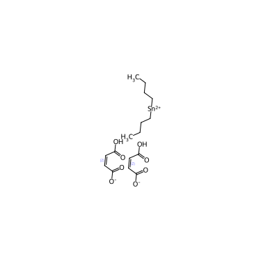 CCC[CH2][Sn+2][CH2]CCC.O=C([O-])/C=C\C(=O)O.O=C([O-])/C=C\C(=O)O